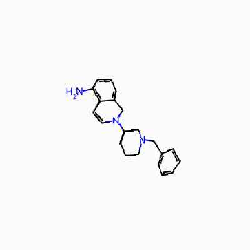 Nc1cccc2c1C=CN(C1CCCN(Cc3ccccc3)C1)C2